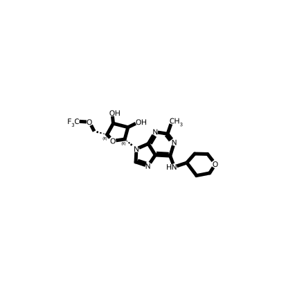 Cc1nc(NC2CCOCC2)c2ncn([C@@H]3O[C@H](COC(F)(F)F)C(O)C3O)c2n1